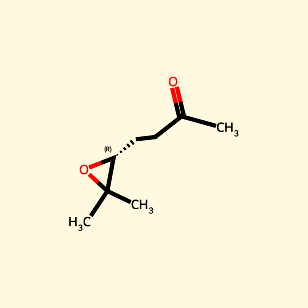 CC(=O)CC[C@H]1OC1(C)C